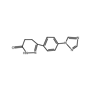 O=C1CCC(c2ccc(-n3cncn3)cc2)=NN1